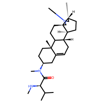 CN[C@@H](C(=O)N(C)[C@H]1CC[C@@]2(C)C(=CC[C@@H]3C2CC[C@]24CN(C)[C@@H](C)[C@H]2CC[C@@H]34)C1)C(C)C